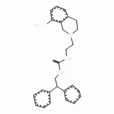 COc1cccc2c1CN(CCNC(=S)NCC(c1ccccc1)c1ccccc1)CC2